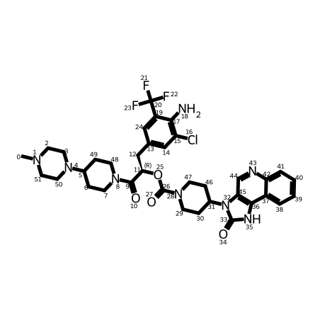 CN1CCN(C2CCN(C(=O)[C@@H](Cc3cc(Cl)c(N)c(C(F)(F)F)c3)OC(=O)N3CCC(n4c(=O)[nH]c5c6ccccc6ncc54)CC3)CC2)CC1